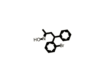 CC(CC(c1ccccc1)c1ccccc1Br)=NO